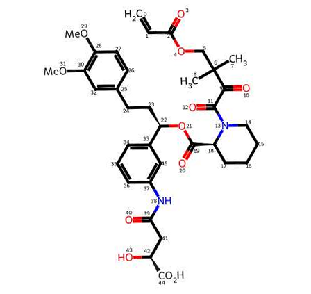 C=CC(=O)OCC(C)(C)C(=O)C(=O)N1CCCC[C@H]1C(=O)O[C@H](CCc1ccc(OC)c(OC)c1)c1cccc(NC(=O)C[C@H](O)C(=O)O)c1